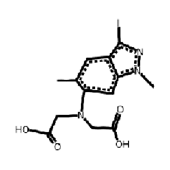 Cc1cc2c(I)nn(C)c2cc1N(CC(=O)O)CC(=O)O